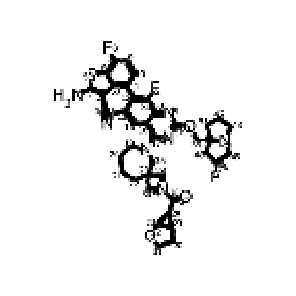 N#Cc1c(N)sc2c(F)ccc(-c3c(Cl)cc4c(N5CCCCC6(CN(C(=O)C7C8CCOC87)C6)C5)nc(OC[C@@]56CCCN5C[C@H](F)C6)nc4c3F)c12